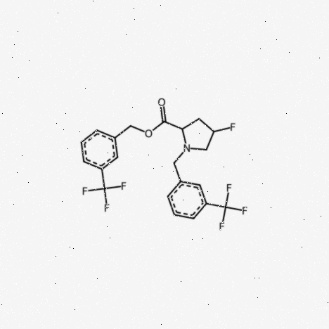 O=C(OCc1cccc(C(F)(F)F)c1)C1CC(F)CN1Cc1cccc(C(F)(F)F)c1